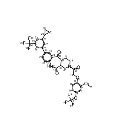 COc1cc(OC(F)(F)F)ccc1OCC(=O)N1CCN2C(=O)c3cc(-c4cc(C5CC5)cc(C(F)(F)F)c4)ccc3NC(=O)C2C1